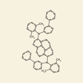 Cc1cccc(C)c1N(c1cccc(-c2ccccc2)c1)c1ccc2ccc3c(N(c4cccc(-c5ccccc5)c4)c4c(C)cccc4C)ccc4ccc1c2c43